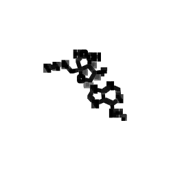 [N-]=[N+]=NC[C@]1(CO)O[C@@H](n2cnc3c(N)ncnc32)[C@H](F)[C@@H]1O